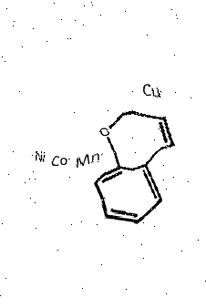 C1=Cc2ccccc2OC1.[Co].[Cu].[Mn].[Ni]